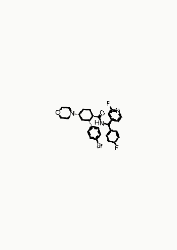 O=C(NC(C1=CCC(F)C=C1)c1ccnc(F)c1)[C@@H]1CC[C@@H](N2CCOCC2)C[C@H]1c1ccc(Br)cc1